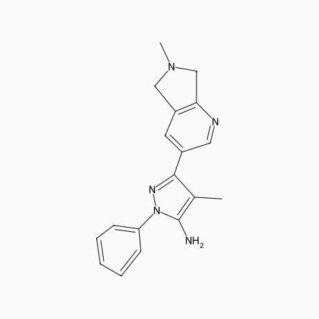 Cc1c(-c2cnc3c(c2)CN(C)C3)nn(-c2ccccc2)c1N